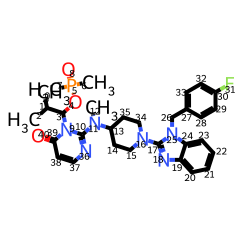 CC(C)C(OP(C)(C)=O)n1c(N(C)C2CCN(c3nc4ccccc4n3Cc3ccc(F)cc3)CC2)nccc1=O